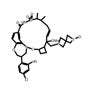 CCCc1cc(Cl)ccc1C1COc2ccc3cc2N(C1)CC1CCC1C(CN1CC2(C1)C[S+]([O-])C2)(OC)/C=C/CC(C)C(C)S(=O)(=O)NC3=O